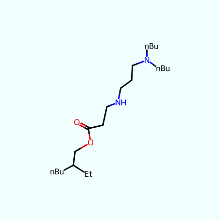 CCCCC(CC)COC(=O)CCNCCCN(CCCC)CCCC